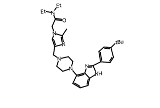 CCN(CC)C(=O)Cn1cc(CN2CCN(c3cccc4[nH]c(-c5ccc(C(C)(C)C)cc5)nc34)CC2)nc1C